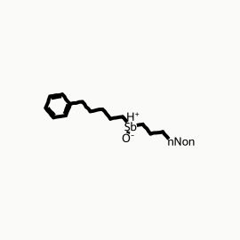 CCCCCCCCCCC[CH2][SbH+]([O-])[CH2]CCCCc1ccccc1